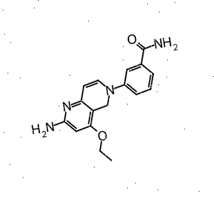 CCOc1cc(N)nc2c1CN(c1cccc(C(N)=O)c1)C=C2